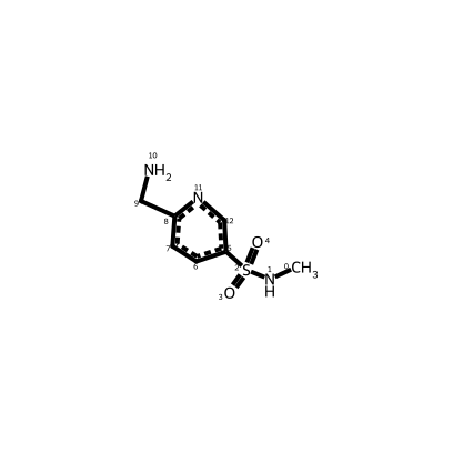 CNS(=O)(=O)c1ccc(CN)nc1